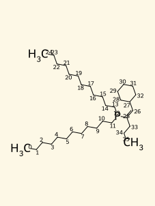 CCCCCCCCCCCCP(CCCCCCCCCCCC)C(=CC1CCCCC1)CCC